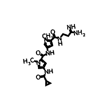 Cn1cc(NC(=O)c2cc(NC(=O)C3CC3)cn2C)cc1C(=O)NCCC(=N)N